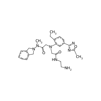 CCc1ccc(-c2noc(C)n2)cc1N(CC(=O)NCCN)CC(=O)N(C)N1Cc2ccccc2C1